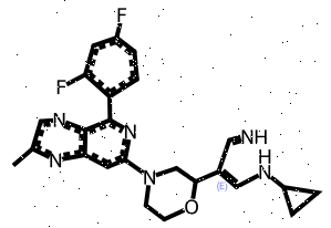 Cc1cnc2c(-c3ccc(F)cc3F)nc(N3CCOC(/C(C=N)=C/NC4CC4)C3)cc2n1